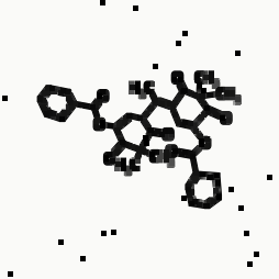 CC(=C1C=C(OC(=O)c2ccccc2)C(=O)C(C)(C)C1=O)C1C=C(OC(=O)c2ccccc2)C(=O)C(C)(C)C1=O